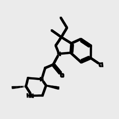 CCC1(C)CN(C(=O)CN2C[C@@H](C)NC[C@@H]2C)c2cc(Cl)ccc21